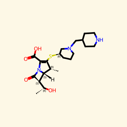 C[C@@H](O)[C@H]1C(=O)N2C(C(=O)O)=C(S[C@@H]3CCCN(CC4CCNCC4)C3)[C@H](C)[C@H]12